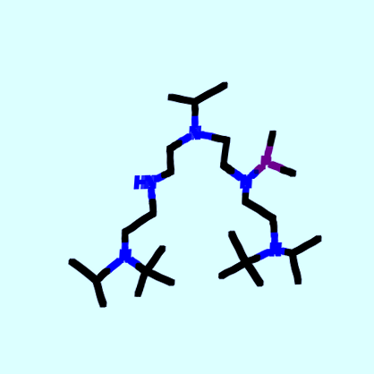 CC(C)N(CCNCCN(C(C)C)C(C)(C)C)CCN(CCN(C(C)C)C(C)(C)C)P(C)C